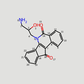 NCC(O)Cn1c2c(c3ccccc3c1=O)C(=O)c1ccccc1-2